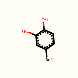 Oc1cc[c]([SnH])cc1O